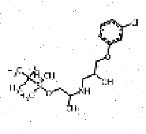 CC(CO[Si](C)(C)C(C)(C)C)NC[C@H](O)COc1cccc(Cl)c1